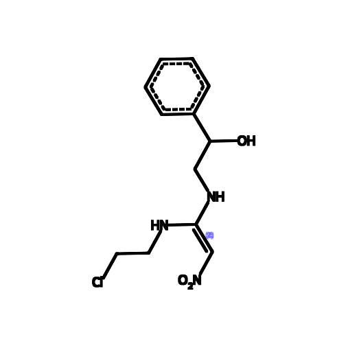 O=[N+]([O-])/C=C(\NCCCl)NCC(O)c1ccccc1